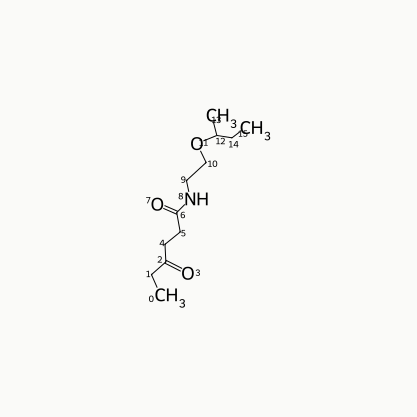 CCC(=O)CCC(=O)NCCOC(C)CC